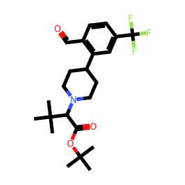 CC(C)(C)OC(=O)C(N1CCC(c2cc(C(F)(F)F)ccc2C=O)CC1)C(C)(C)C